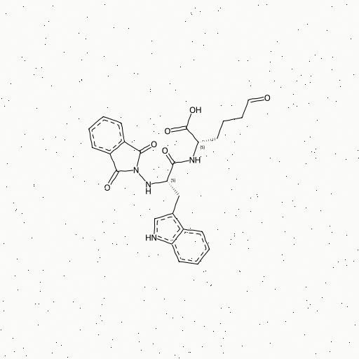 O=CCCC[C@H](NC(=O)[C@H](Cc1c[nH]c2ccccc12)NN1C(=O)c2ccccc2C1=O)C(=O)O